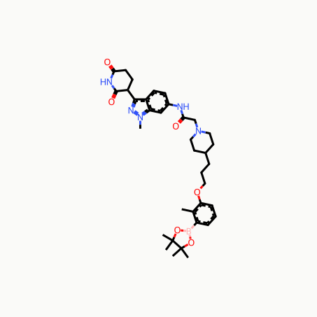 Cc1c(OCCCC2CCN(CC(=O)Nc3ccc4c(C5CCC(=O)NC5=O)nn(C)c4c3)CC2)cccc1B1OC(C)(C)C(C)(C)O1